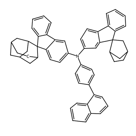 c1ccc2c(c1)-c1ccc(N(c3ccc(-c4cccc5ccccc45)cc3)c3ccc4c(c3)-c3ccccc3C43C4CCC5CC(C4)CC3C5)cc1C21CC2CCC1C2